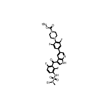 CCN(C)S(=O)(=O)Nc1ccc(F)c(C(=O)c2c[nH]c3ncc(-c4cc(F)c(N5CCN(C(=O)OC(C)(C)C)CC5)c(F)c4)cc23)c1F